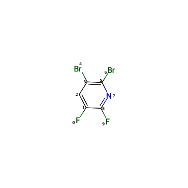 Fc1cc(Br)c(Br)nc1F